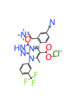 COC(=O)C1=C(C)N(c2cccc(C(F)(F)F)c2)c2n[nH]c(=O)n2[C@@H]1c1ccc(C#N)cc1CC[N+](C)(C)C.[Cl-]